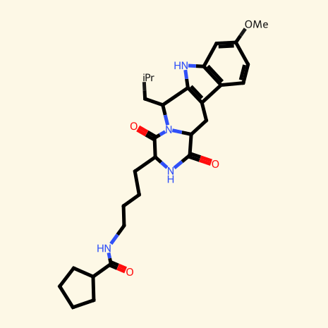 COc1ccc2c3c([nH]c2c1)C(CC(C)C)N1C(=O)C(CCCCNC(=O)C2CCCC2)NC(=O)C1C3